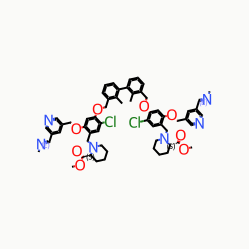 C/N=C/c1cncc(COc2cc(OCc3cccc(-c4cccc(COc5cc(OCc6cncc(/C=N/C)c6)c(CN6CCCC[C@H]6C(=O)OC)cc5Cl)c4C)c3C)c(Cl)cc2CN2CCCC[C@H]2C(=O)OC)c1